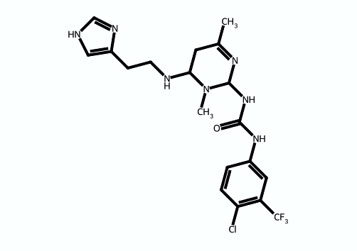 CC1=NC(NC(=O)Nc2ccc(Cl)c(C(F)(F)F)c2)N(C)C(NCCc2c[nH]cn2)C1